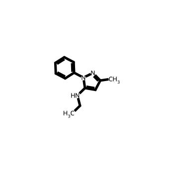 CCNc1cc(C)nn1-c1ccccc1